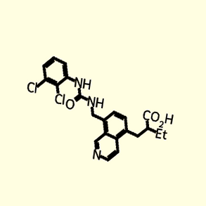 CCC(Cc1ccc(CNC(=O)Nc2cccc(Cl)c2Cl)c2cnccc12)C(=O)O